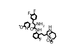 COc1ccc([C@H](c2ccc(F)c(F)c2)[C@H](N)C(=O)Nc2cccc(F)c2CCC2CNC3CCCS(=O)(=O)N2C3)cn1